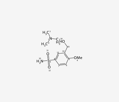 CN(C)C.COc1ccc(S(N)(=O)=O)cc1CO